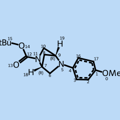 COc1ccc(N2C[C@H]3C[C@@H]2CN3C(=O)OC(C)(C)C)cc1